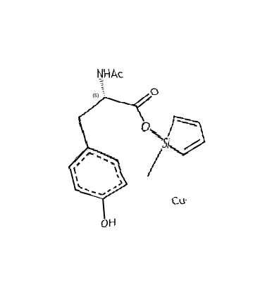 CC(=O)N[C@@H](Cc1ccc(O)cc1)C(=O)O[Si]1(C)C=CC=C1.[Cu]